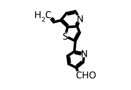 C=Cc1ccnc2cc(-c3ccc(C=O)cn3)sc12